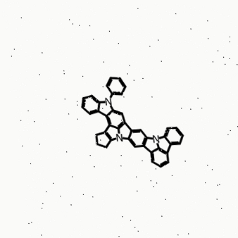 c1ccc(-n2c3ccccc3c3c4c5c(n6c7cc8c9cccc%10c%11ccccc%11n(c8cc7c(cc32)c46)c%109)CCC5)cc1